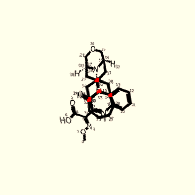 CON=C(C(=O)O)c1nc2ccccc2n(C2C[C@H]3COC[C@H](C2)N3[C@@H]2CC3CCCC[C@H](C3)C2)c1=O